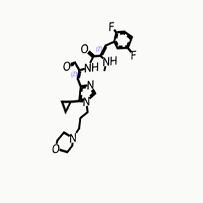 CN/C(=C\c1cc(F)ccc1F)C(=O)N/C(C=O)=C\c1ncn(CCCN2CCOCC2)c1C1CC1